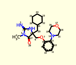 CN1C(=N)NC(COc2ccccc2N2CCOCC2)(CC2CCCCC2)C1=O